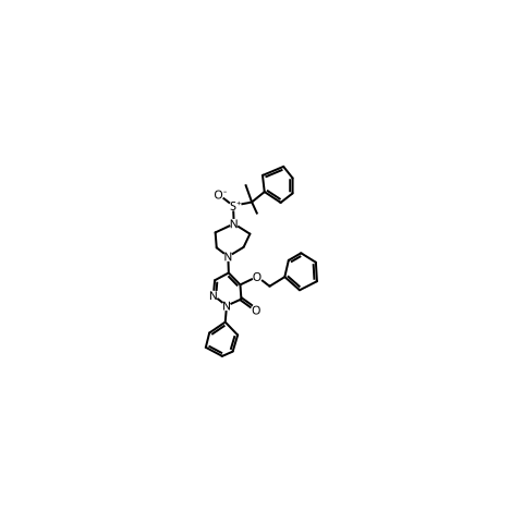 CC(C)(c1ccccc1)[S+]([O-])N1CCN(c2cnn(-c3ccccc3)c(=O)c2OCc2ccccc2)CC1